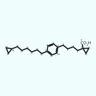 O=C(O)C1(CCCCc2ccc(CCCCCCC3CC3)cc2)CC1